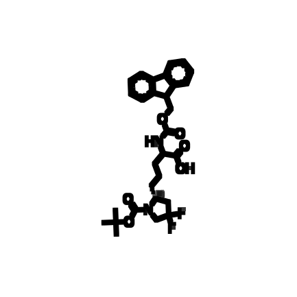 CC(C)(C)OC(=O)N1CC(F)(F)C[C@H]1CCCC(NC(=O)OCC1c2ccccc2-c2ccccc21)C(=O)O